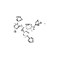 COC1C(Sc2cc(Cl)cnc2-c2cncnc2)OC2COC(c3ccccc3)OC2C1n1cc(-c2csc(N)n2)nn1